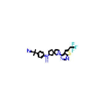 CC(C)(C#N)c1ccc(NC2CCC3(CCN(c4ncnc5sc(CC(F)(F)F)cc45)C3)C2)cc1